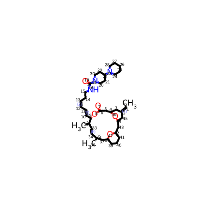 C/C=C1\CC2CC(=O)OC(/C=C/C=C\CCNC(=O)N3CCC(N4CCCCC4)CC3)C(C)/C=C/C(C)CC3CCCC(CC(C1)O2)O3